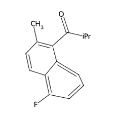 Cc1ccc2c(F)cccc2c1C(=O)C(C)C